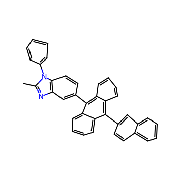 Cc1nc2cc(-c3c4ccccc4c(-c4ccc5ccccc5c4)c4ccccc34)ccc2n1-c1ccccc1